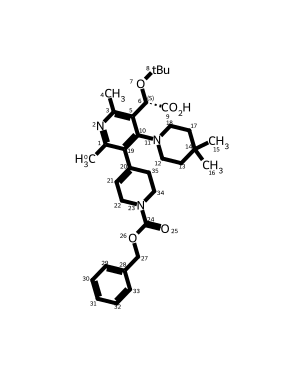 Cc1nc(C)c([C@H](OC(C)(C)C)C(=O)O)c(N2CCC(C)(C)CC2)c1C1=CCN(C(=O)OCc2ccccc2)CC1